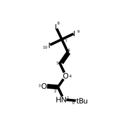 CC(C)(C)NC(=O)OC=CC(I)(I)I